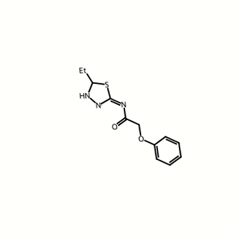 CCC1N[N]C(=NC(=O)COc2ccccc2)S1